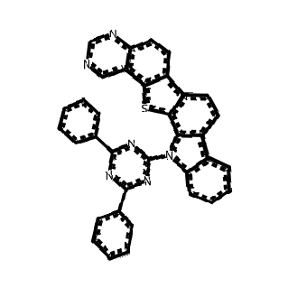 c1ccc(-c2nc(-c3ccccc3)nc(-n3c4ccccc4c4ccc5c6ccc7ncncc7c6sc5c43)n2)cc1